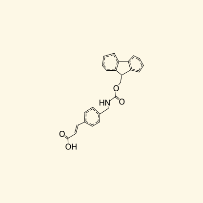 O=C(O)/C=C/c1ccc(CNC(=O)OCC2c3ccccc3-c3ccccc32)cc1